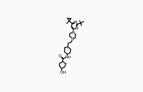 CC(C)(C)c1nc(N2CCN(CCC3CCC(NC(=O)C4CCC(O)CC4)CC3)CC2)cc(C2(C)CC2)n1